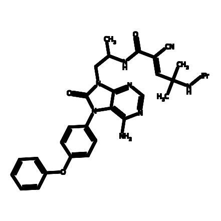 CC(C)NC(C)(C)C=C(C#N)C(=O)NC(C)Cn1c(=O)n(-c2ccc(Oc3ccccc3)cc2)c2c(N)ncnc21